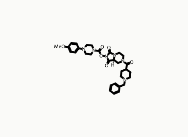 COc1ccc(N2CCN(C(=O)ON3C(=O)[C@@H]4CN(C(=O)C5CCN(Cc6ccccc6)CC5)CCN4C3=O)CC2)cc1